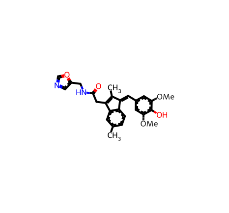 COc1cc(/C=C2/C(C)=C(CC(=O)NCc3cnco3)c3cc(C)ccc32)cc(OC)c1O